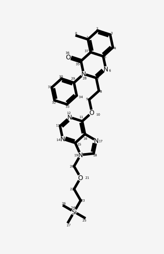 Cc1cccc2nc(CCOc3ncnc4c3ncn4COCC[Si](C)(C)C)n(-c3ccccc3)c(=O)c12